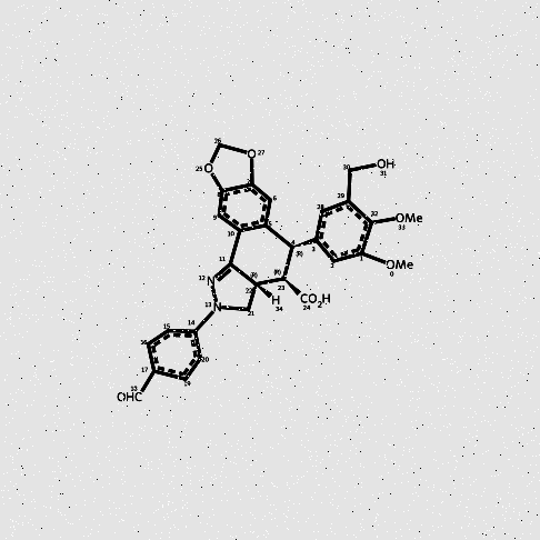 COc1cc([C@@H]2c3cc4c(cc3C3=NN(c5ccc(C=O)cc5)C[C@H]3[C@@H]2C(=O)O)OCO4)cc(CO)c1OC